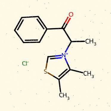 Cc1sc[n+](C(C)C(=O)c2ccccc2)c1C.[Cl-]